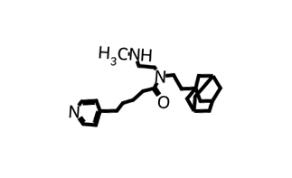 CNCCN(CCC12CC3CC(CC(C3)C1)C2)C(=O)CCCCc1ccncc1